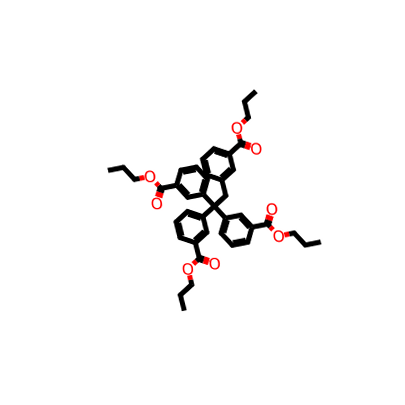 CCCOC(=O)c1cccc(CC(c2cccc(C(=O)OCCC)c2)(c2cccc(C(=O)OCCC)c2)c2cccc(C(=O)OCCC)c2)c1